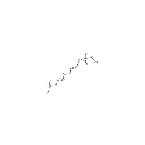 CN(C)C/C=C/CC/C=C/CC(C)(C)CC(C)(C)C